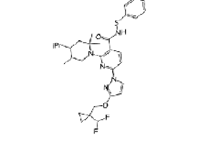 CC(C)C1CC(C)(C)N(c2nc(-n3ccc(OCC4(C(F)F)CC4)n3)ccc2C(=O)NSc2ccccc2)CC1C